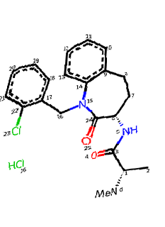 CN[C@@H](C)C(=O)N[C@H]1CCc2ccccc2N(Cc2ccccc2Cl)C1=O.Cl